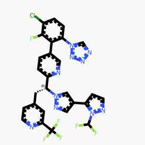 Fc1c(Cl)ccc(-n2cnnn2)c1-c1ccc([C@@H](Cc2ccnc(C(F)(F)F)c2)n2cc(-c3ccnn3C(F)F)cn2)nc1